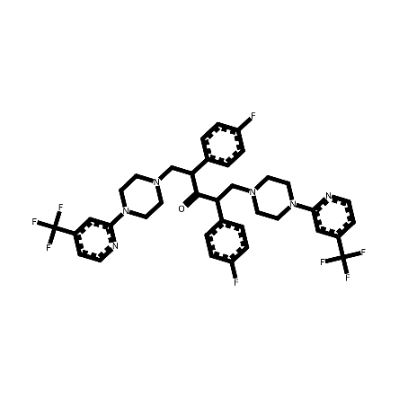 O=C(C(CN1CCN(c2cc(C(F)(F)F)ccn2)CC1)c1ccc(F)cc1)C(CN1CCN(c2cc(C(F)(F)F)ccn2)CC1)c1ccc(F)cc1